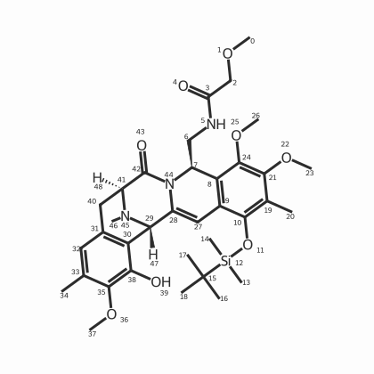 COCC(=O)NC[C@H]1c2c(c(O[Si](C)(C)C(C)(C)C)c(C)c(OC)c2OC)C=C2[C@@H]3c4c(cc(C)c(OC)c4O)C[C@@H](C(=O)N21)N3C